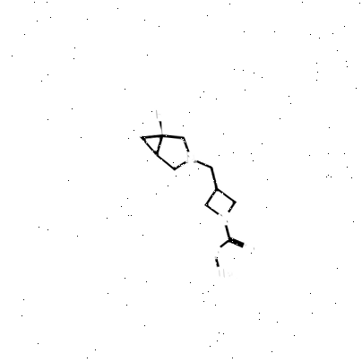 CC(C)(C)OC(=O)N1CC(CN2CC3C[C@]3(F)C2)C1